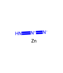 [N-]=[N+]=N.[Zn]